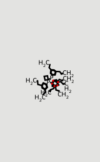 C=CCc1cc(CC=C)cc(P(c2cc(CC=C)cc(CC=C)c2)C2(P(c3cc(CC=C)cc(CC=C)c3)c3cc(CC=C)cc(CC=C)c3)CCC2)c1